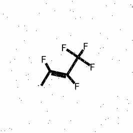 [CH2]C(F)=C(F)C(F)(F)F